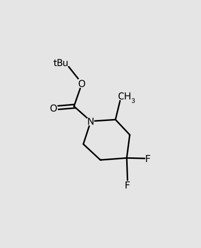 CC1CC(F)(F)CCN1C(=O)OC(C)(C)C